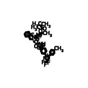 Cc1ccc(-c2cc(C(F)(F)F)nn2-c2ccc(S(=O)(=O)NC(=O)OC[C@H](Cc3ccccc3)N(C)/[N+]([O-])=N/OC(C)OC(=O)C(C)(C)C)cc2)cc1